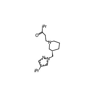 CC(C)C(=O)CCN1CCC[C@@H](Cn2cc(C(C)C)cn2)C1